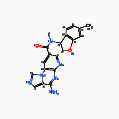 CN(C(=O)c1cnc2nc(N)c3cncn3c2c1)C1COc2cc(C(F)(F)F)ccc21